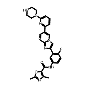 Cc1nc(C)c(C(=O)Nc2ccc(F)c(-c3cn4cc(-c5cccc(N6CCNCC6)n5)cnc4n3)c2)o1